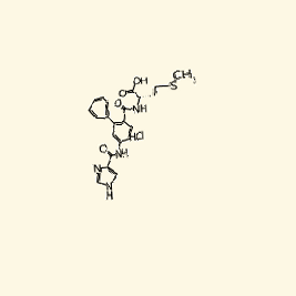 CSCC[C@H](NC(=O)c1ccc(NC(=O)c2c[nH]cn2)cc1-c1ccccc1)C(=O)O.Cl